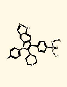 COP(=O)(OC)c1ccc(-c2c(C3CCOCC3)n(-c3ccc(F)cc3)c3cc4cn[nH]c4cc23)cc1